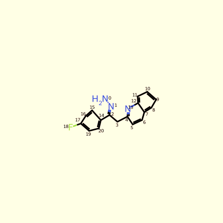 NN=C(Cc1ccc2ccccc2n1)c1ccc(F)cc1